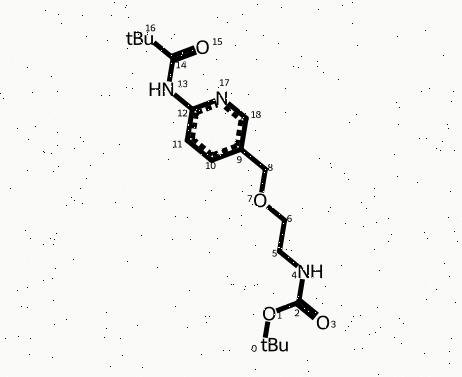 CC(C)(C)OC(=O)NCCOCc1ccc(NC(=O)C(C)(C)C)nc1